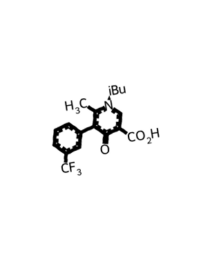 CC[C@H](C)n1cc(C(=O)O)c(=O)c(-c2cccc(C(F)(F)F)c2)c1C